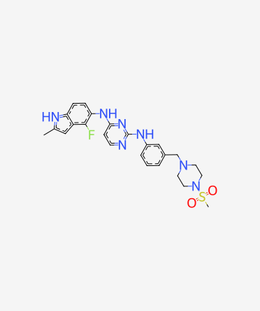 Cc1cc2c(F)c(Nc3ccnc(Nc4cccc(CN5CCN(S(C)(=O)=O)CC5)c4)n3)ccc2[nH]1